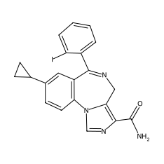 NC(=O)c1ncn2c1CN=C(c1ccccc1I)c1cc(C3CC3)ccc1-2